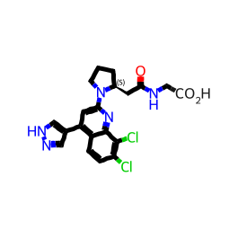 O=C(O)CNC(=O)C[C@@H]1CCCN1c1cc(-c2cn[nH]c2)c2ccc(Cl)c(Cl)c2n1